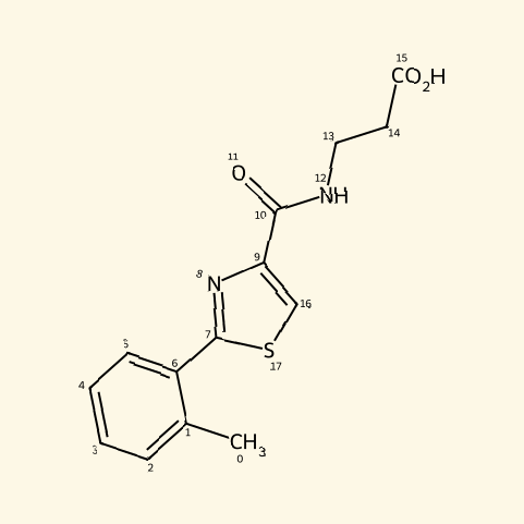 Cc1ccccc1-c1nc(C(=O)NCCC(=O)O)cs1